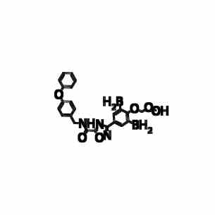 Bc1cc(-c2noc(C(=O)NCc3ccc(Oc4ccccc4)cc3)n2)cc(B)c1OCOO